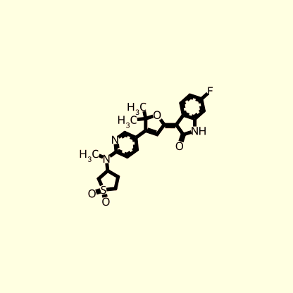 CN(c1ccc(C2=C/C(=C3\C(=O)Nc4cc(F)ccc43)OC2(C)C)cn1)C1CCS(=O)(=O)C1